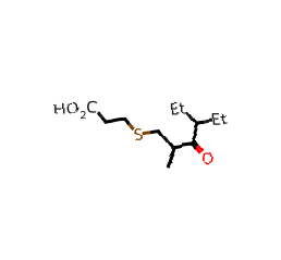 CCC(CC)C(=O)C(C)CSCCC(=O)O